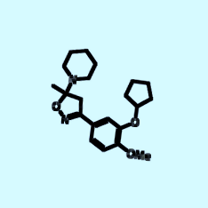 COc1ccc(C2=NOC(C)(N3CCCCC3)C2)cc1OC1CCCC1